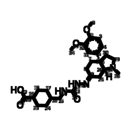 COc1ccc([C@@]23CCC(=NNC(=O)NCC4CCC(C(=O)O)CC4)C[C@@H]2N(C)CC3)cc1OC